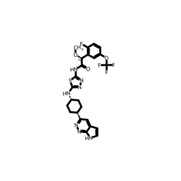 CO[C@H](C(=O)Nc1nnc(N[C@H]2CC[C@H](c3cc4cc[nH]c4nn3)CC2)s1)c1cc(OC(F)(F)F)ccc1F